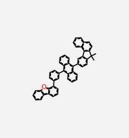 CC1(C)c2ccc(-c3c4ccccc4c(-c4cccc(-c5cccc6c5oc5ccccc56)c4)c4ccccc34)cc2-c2c1ccc1ccccc21